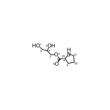 O=C(OCC(O)CO)[C@@H]1CCCN1